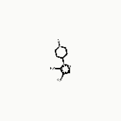 CC(=O)N1CCC(n2ncc([N+](=O)[O-])c2C)CC1